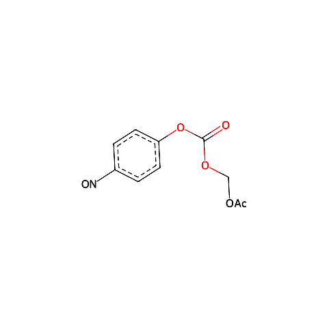 CC(=O)OCOC(=O)Oc1ccc(N=O)cc1